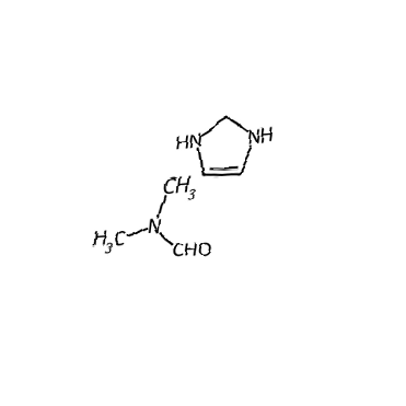 C1=CNCN1.CN(C)C=O